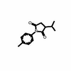 Cc1ccc(N2C(=O)CC(C(C)C)C2=O)cc1